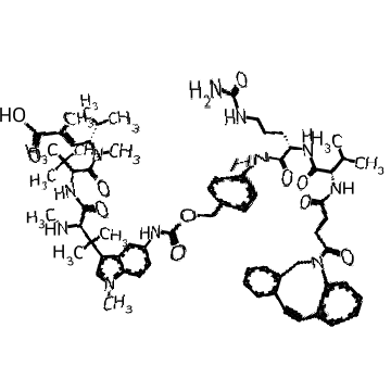 CNC(C(=O)N[C@H](C(=O)N(C)[C@H](/C=C(\C)C(=O)O)C(C)C)C(C)(C)C)C(C)(C)c1cn(C)c2ccc(NC(=O)OCc3ccc(NC(=O)[C@H](CCCNC(N)=O)NC(=O)[C@@H](NC(=O)CCC(=O)N4Cc5ccccc5C#Cc5ccccc54)C(C)C)cc3)cc12